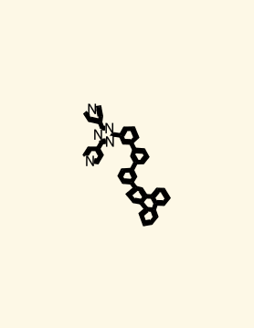 c1cc(-c2cccc(-c3ccc4c5ccccc5c5ccccc5c4c3)c2)cc(-c2cccc(-c3nc(-c4ccncc4)nc(-c4ccncc4)n3)c2)c1